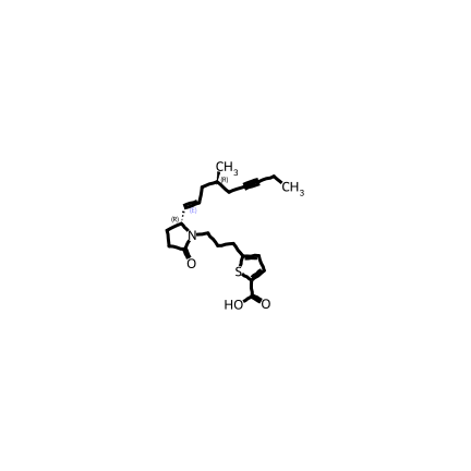 CCC#CC[C@H](C)C/C=C/[C@H]1CCC(=O)N1CCCc1ccc(C(=O)O)s1